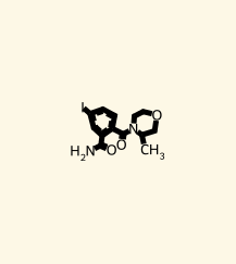 CC1COCCN1C(=O)c1ccc(I)cc1C(N)=O